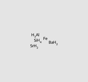 [AlH3].[BaH2].[Fe].[SiH4].[SrH2]